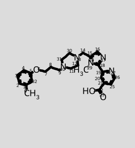 Cc1cccc(OCCCN2CCN(Cc3cnc(-c4cc(C(=O)O)ccn4)n3C)CC2)c1